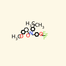 COc1ccc2c(c1)C(C(=O)N(Cc1ccc(OCC(F)(F)F)cc1)c1ccc(C(C)C)cc1)CCC2